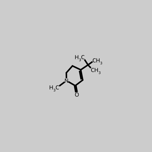 CN1CCC(C(C)(C)C)=CC1=O